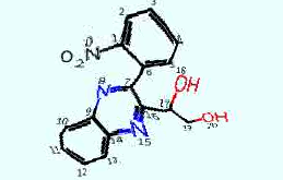 O=[N+]([O-])c1ccccc1-c1nc2ccccc2nc1C(O)CO